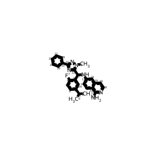 CC(C)c1ccc(F)c(C(Nc2ccc3c(N)nccc3c2)c2nc(-c3ccccc3)nn2C)c1